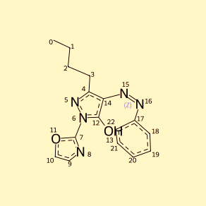 CCCCc1nn(-c2ncco2)c(O)c1/N=N\c1ccccc1